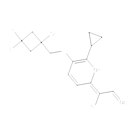 CC(=O)/C(C=N)=C1\C=CC(OCC2(N=O)CC(F)(F)C2)=C(C2CC2)N1